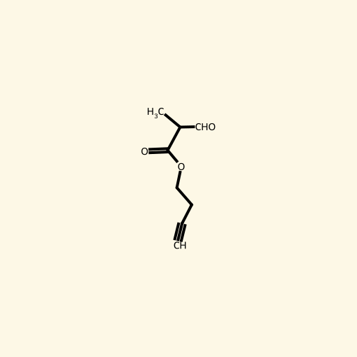 C#CCCOC(=O)C(C)C=O